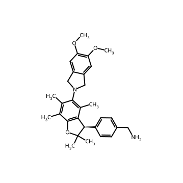 COc1cc2c(cc1OC)CN(c1c(C)c(C)c3c(c1C)[C@@H](c1ccc(CN)cc1)C(C)(C)O3)C2